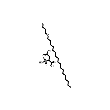 CCCCCCCCCCCCCCCCCCOCC[CH2][K].O=C(O)CC(C(=O)O)S(=O)(=O)O